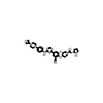 N#Cc1cc(-c2ncnc(Nc3ccc(N4CCN(C5COC5)CC4)cc3)n2)ccc1O[C@H]1CCN(C(=O)C[C@@H]2CCCN2)C[C@H]1F